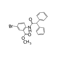 COC(=O)c1cc(Br)ccc1NC(=O)C(c1ccccc1)c1ccccc1